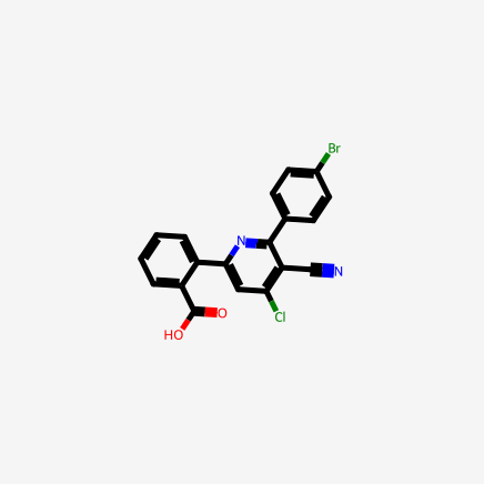 N#Cc1c(Cl)cc(-c2ccccc2C(=O)O)nc1-c1ccc(Br)cc1